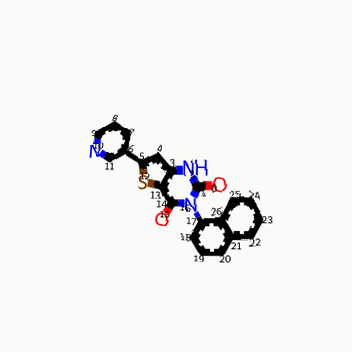 O=c1[nH]c2cc(-c3cccnc3)sc2c(=O)n1-c1cccc2ccccc12